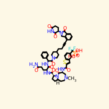 CN1CC[C@H]2CC[C@@H](C(=O)NC(CCC(N)=O)C(=O)NC(C(=O)N3CCC(CCC#Cc4cccc5c4CN(C4CCC(=O)NC4=O)C5=O)CC3)c3ccccc3)N2C(=O)[C@@H](NC(=O)c2cc3cc(C(F)(F)P(=O)(O)O)ccc3s2)C1